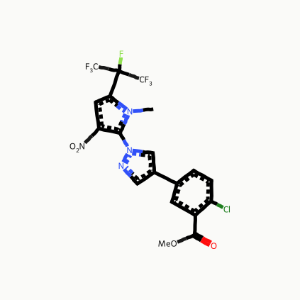 COC(=O)c1cc(-c2cnn(-c3c([N+](=O)[O-])cc(C(F)(C(F)(F)F)C(F)(F)F)n3C)c2)ccc1Cl